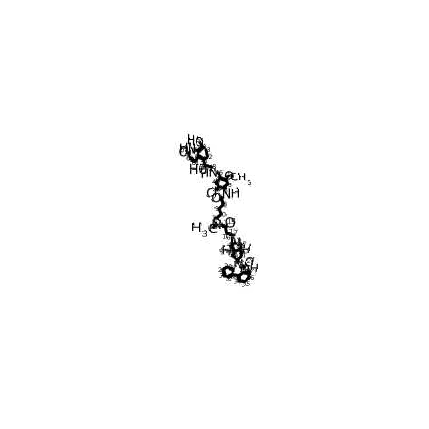 COc1cc(NC(=O)CCCCN(C)C(=O)CCN2C[C@H]3CC(N(C(=O)O)c4ccccc4-c4ccccc4)C[C@H]3C2)c(Cl)cc1CNC[C@H](O)c1ccc(O)c2[nH]c(=O)ccc12